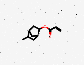 C=CC(=O)OC1CC2CC1CC2C